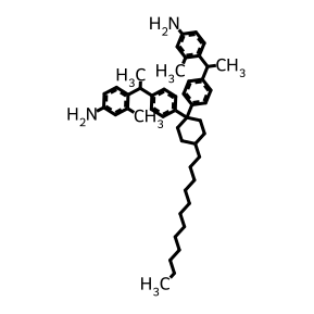 CCCCCCCCCCCCC1CCC(c2ccc(C(C)c3ccc(N)cc3C)cc2)(c2ccc(C(C)c3ccc(N)cc3C)cc2)CC1